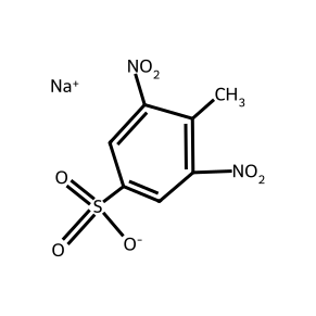 Cc1c([N+](=O)[O-])cc(S(=O)(=O)[O-])cc1[N+](=O)[O-].[Na+]